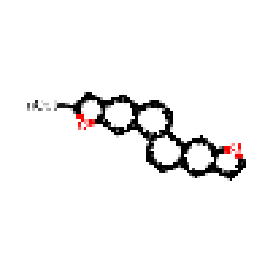 CCCCCCCCc1cc2cc3ccc4c5cc6occc6cc5ccc4c3cc2o1